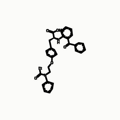 CCC(=O)N(CCOc1ccc(C[C@H](Nc2ccccc2C(=O)c2ccccc2)C(=O)OC)cc1)c1ccccc1